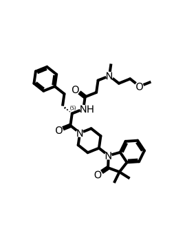 COCCN(C)CCC(=O)N[C@@H](CCc1ccccc1)C(=O)N1CCC(N2C(=O)C(C)(C)c3ccccc32)CC1